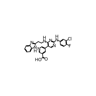 O=C(O)c1cncc(-c2cnc(Nc3ccc(F)c(Cl)c3)nc2NCCc2nc3ccccc3[nH]2)c1